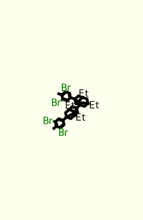 CCC12CC3(CC)CC(c4cc(Br)c(C)c(Br)c4)(C1)CC(C14CC5(CC)CC(CC)(CC(c6cc(Br)c(C)c(Br)c6)(C5)C1)C4)(C2)C3